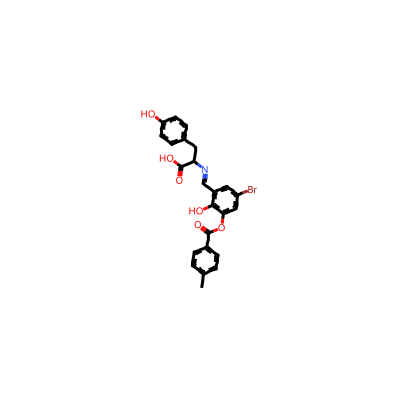 Cc1ccc(C(=O)Oc2cc(Br)cc(C=NC(Cc3ccc(O)cc3)C(=O)O)c2O)cc1